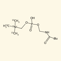 CCC(C)C(=O)NCOP(=O)(O)OC[15N+]([13CH3])([13CH3])[13CH3]